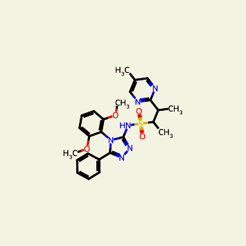 COc1cccc(OC)c1-n1c(NS(=O)(=O)C(C)C(C)c2ncc(C)cn2)nnc1-c1ccccc1